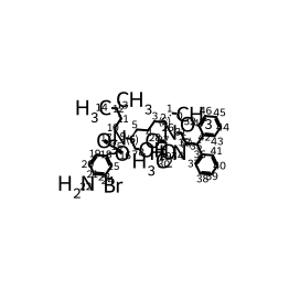 CC[C@@H](CCC[C@@H](CO)N(CCC(C)C)S(=O)(=O)c1ccc(N)c(Br)c1)N(C(=O)OC)C(=O)[C@@H](N)C(c1ccccc1)c1ccccc1